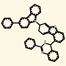 C1=c2oc3cccc(C4NC(c5ccccc5)=Nc5ccccc54)c3c2=CCC1n1c2ccccc2c2cc(-c3ccccc3)ccc21